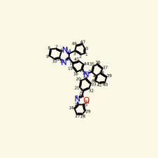 c1ccc(-c2nc3ccccc3nc2-c2ccc(N(c3ccc(-c4nc5ccccc5o4)cc3)c3cccc4ccccc34)cc2)cc1